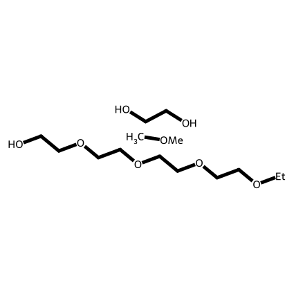 CCOCCOCCOCCOCCO.COC.OCCO